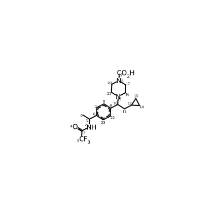 CC(NC(=O)C(F)(F)F)c1ccc(C(CC2CC2)N2CCN(C(=O)O)CC2)cc1